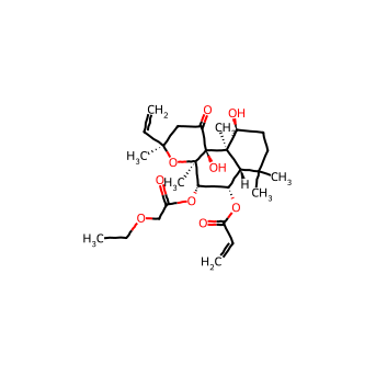 C=CC(=O)O[C@H]1[C@H]2C(C)(C)CC[C@H](O)[C@]2(C)[C@@]2(O)C(=O)C[C@](C)(C=C)O[C@]2(C)[C@H]1OC(=O)COCC